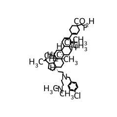 C=C(C)C1CC[C@]2(CCN(CCN(C)C)Cc3ccc(Cl)cc3)CC[C@]3(C)[C@H](CC[C@@H]4[C@@]5(C)CC=C(C6=CC[C@](CF)(C(=O)O)CC6)C(C)(C)[C@@H]5CC[C@]43C)[C@@H]12